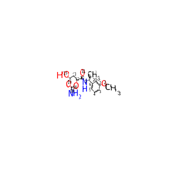 COc1cccc([C@@H](C)NC(=O)C(CCO)OC(N)=O)c1